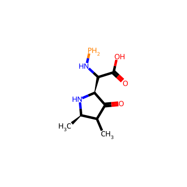 CC1C(=O)[C@H](C(NP)C(=O)O)N[C@@H]1C